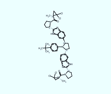 CC(C)(C)c1ccc(N2[C@@H](c3ccc4nc([C@@H]5CCCN5C(=O)[C@@]5(C)CC5(Cl)Cl)[nH]c4c3)CC[C@@H]2c2ccc3nc([C@@H]4CCCN4C(=O)[C@@]4(C)CC4(Cl)Cl)[nH]c3c2)cc1